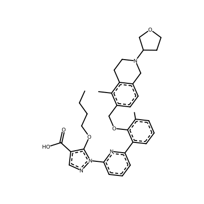 CCCCOc1c(C(=O)O)cnn1-c1cccc(-c2cccc(C)c2OCc2ccc3c(c2C)CCN(C2CCOC2)C3)n1